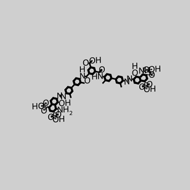 Cc1cc(-c2ccc(NC(=O)c3cc(C(=O)O)cc(C(=O)Nc4ccc(-c5ccc(N=Nc6ccc7c(S(=O)(=O)O)cc(S(=O)(=O)O)c(N)c7c6O)c(C)c5)cc4C)c3)c(C)c2)ccc1N=Nc1ccc2c(S(=O)(=O)O)cc(S(=O)(=O)O)c(N)c2c1O